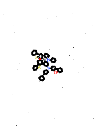 c1ccc(-c2ccc(N(c3ccc4c(c3)N(c3ccccc3)c3ccccc3[Si]4(c3ccc4c(c3)sc3ccccc34)c3ccc4c(c3)sc3ccccc34)c3ccc4c(c3)oc3ccccc34)cc2)cc1